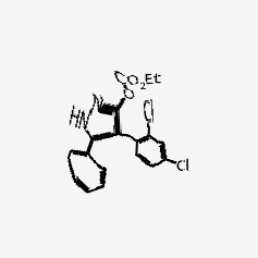 CCOC(=O)Oc1n[nH]c(-c2ccccc2)c1-c1ccc(Cl)cc1Cl